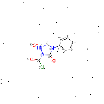 O=C(Cl)N1C(=O)N(c2ccccc2)C[NH+]1[O-]